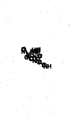 Cl.Cl.Cl.O=C(NCCc1ccccn1)c1ccc2nc(N3CCC(C4CCNCC4)CC3)c(-c3ccccc3)nc2c1